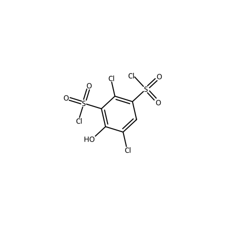 O=S(=O)(Cl)c1cc(Cl)c(O)c(S(=O)(=O)Cl)c1Cl